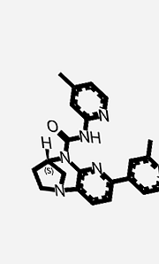 Cc1ccnc(NC(=O)N2c3nc(-c4ccnc(C)c4)ccc3N3CC[C@H]2C3)c1